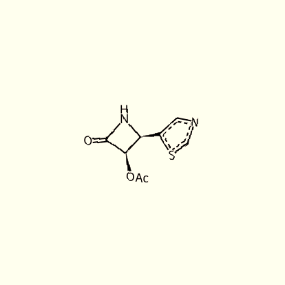 CC(=O)O[C@H]1C(=O)N[C@H]1c1cncs1